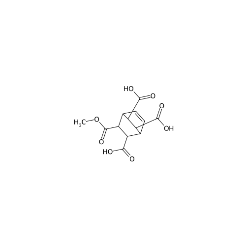 COC(=O)C1C2C=CC(C(C(=O)O)C2C(=O)O)C1C(=O)O